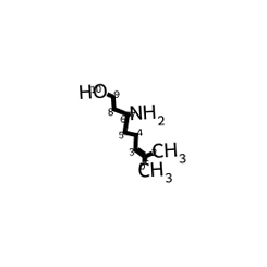 CC(C)=CCCC(N)CCO